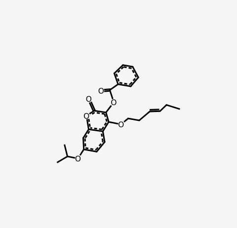 CCC=CCCOc1c(OC(=O)c2ccccc2)c(=O)oc2cc(OC(C)C)ccc12